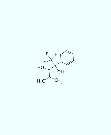 CC(C)C(O)C(O)(c1ccccc1)C(F)(F)F